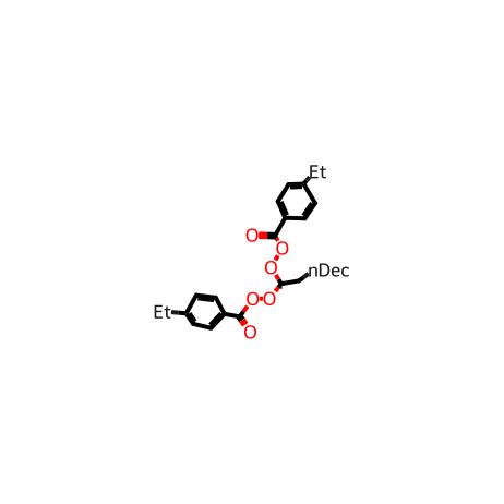 [CH2]CCCCCCCCCC[C](OOC(=O)c1ccc(CC)cc1)OOC(=O)c1ccc(CC)cc1